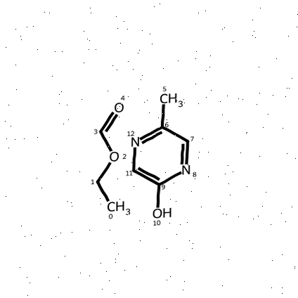 CCOC=O.Cc1cnc(O)cn1